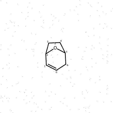 [C]1=CC2CCC(C1)O2